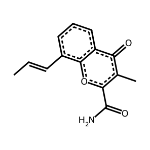 C/C=C/c1cccc2c(=O)c(C)c(C(N)=O)oc12